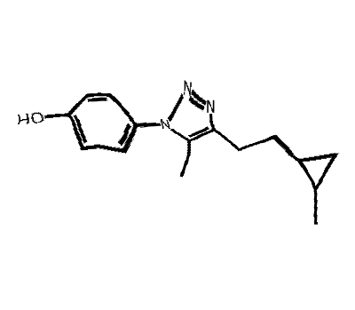 Cc1c(CCC2CC2C)nnn1-c1ccc(O)cc1